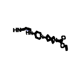 CCOC(=O)N1CC2(CC(N3CCC(N/C=C\C=N)CC3)C2)C1